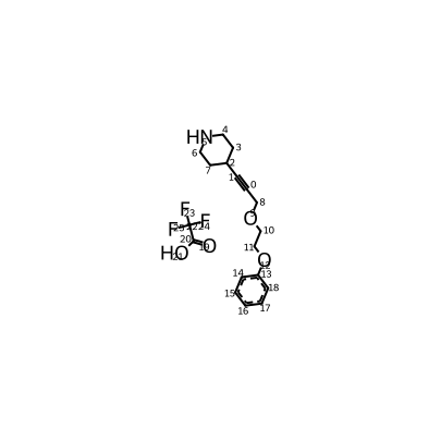 C(#CC1CCNCC1)COCCOc1ccccc1.O=C(O)C(F)(F)F